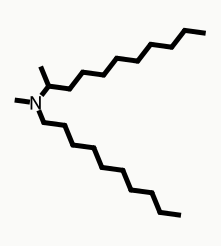 CCCCCCCCCCN(C)C(C)CCCCCCCCC